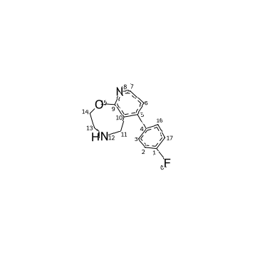 Fc1ccc(-c2ccnc3c2CNCCO3)cc1